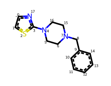 [c]1csc(N2CCN(Cc3ccccc3)CC2)n1